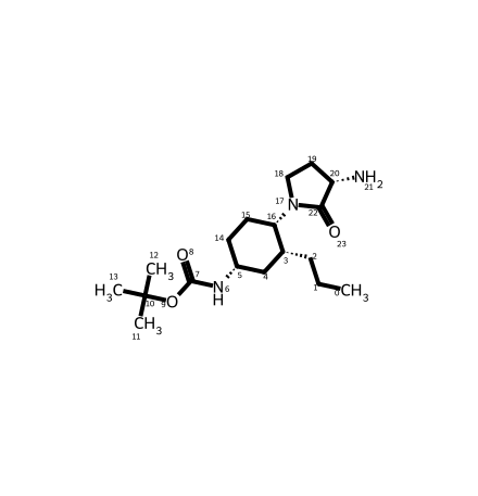 CCC[C@@H]1C[C@H](NC(=O)OC(C)(C)C)CC[C@@H]1N1CC[C@H](N)C1=O